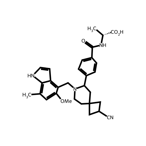 COc1cc(C)c2[nH]ccc2c1CN1CCC2(CC(C#N)C2)CC1c1ccc(C(=O)N[C@H](C)C(=O)O)cc1